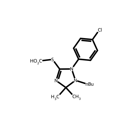 CCCCN1N(c2ccc(Cl)cc2)C(SC(=O)O)=NC1(C)C